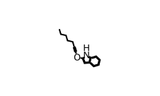 CCCCCC#COc1cc2ccccc2[nH]1